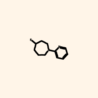 FC1CCCN(c2ccccn2)CC1